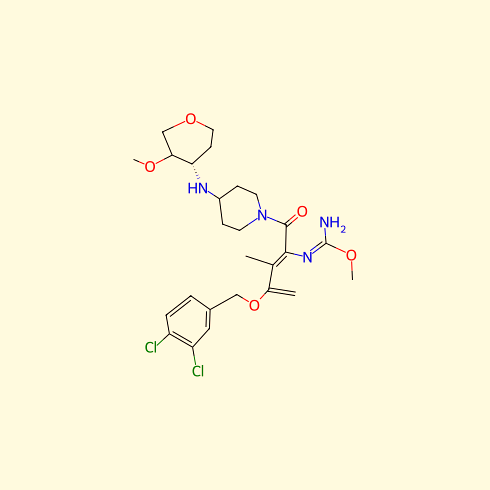 C=C(OCc1ccc(Cl)c(Cl)c1)/C(C)=C(\N=C(/N)OC)C(=O)N1CCC(N[C@H]2CCOCC2OC)CC1